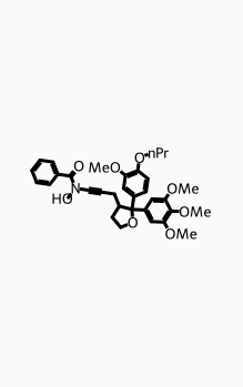 CCCOc1ccc(C2(c3cc(OC)c(OC)c(OC)c3)OCCC2CC#CN(O)C(=O)c2ccccc2)cc1OC